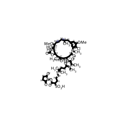 COc1cc2cc(c1Cl)N(C)C(=O)CC(OC(=O)[C@H](C)N(C)C(=O)CCC(C)(C)SSCCC(C(=O)ON1C(=O)CCC1=O)S(=O)(=O)O)[C@@]1(C)O[C@@H]1C(C)C1CC(O)(NC(=O)O1)C(OC)/C=C/C=C(\C)C2